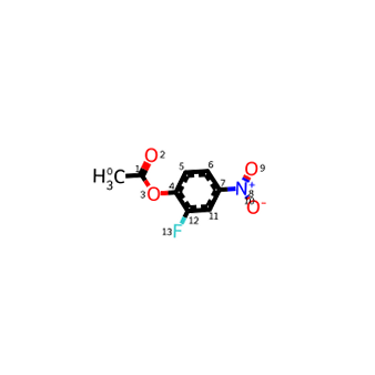 CC(=O)Oc1ccc([N+](=O)[O-])cc1F